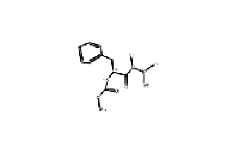 CCN(C(=O)[C@H](Cc1ccccc1)NC(=O)OC(C)(C)C)N(C(C)C)C(C)C